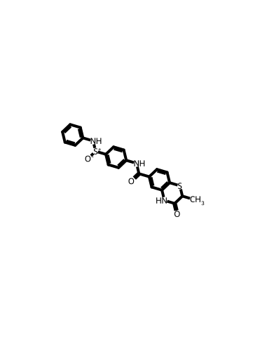 CC1Sc2ccc(C(=O)Nc3ccc([S+]([O-])Nc4ccccc4)cc3)cc2NC1=O